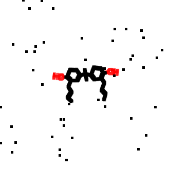 CC=CCc1cc(C(C)(C)c2ccc(O)c(CC=CC)c2)ccc1O